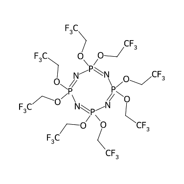 FC(F)(F)COP1(OCC(F)(F)F)=NP(OCC(F)(F)F)(OCC(F)(F)F)=NP(OCC(F)(F)F)(OCC(F)(F)F)=NP(OCC(F)(F)F)(OCC(F)(F)F)=N1